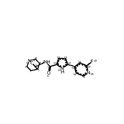 O=C(NC1CN2CCC1CC2)c1ccc(-c2ccnc(F)c2)[nH]1